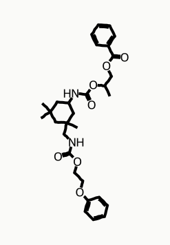 CC(COC(=O)c1ccccc1)OC(=O)NC1CC(C)(C)CC(C)(CNC(=O)OCCOc2ccccc2)C1